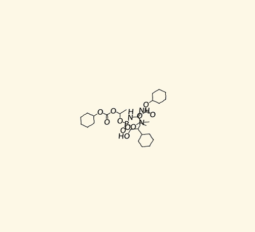 CC(OC(=O)OC1CCCCC1)OP(=O)(NC(=N)N(C)C(C(=O)O)C1CCCCC1)OC(C)OC(=O)OC1CCCCC1